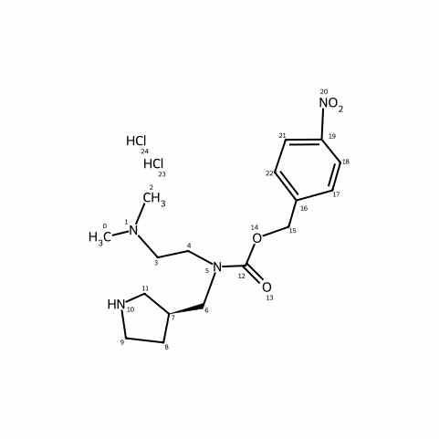 CN(C)CCN(C[C@H]1CCNC1)C(=O)OCc1ccc([N+](=O)[O-])cc1.Cl.Cl